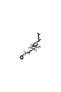 CCCN1C(=O)[C@H](CCCCNC(=O)OCc2ccccc2)NC(=O)C12CCN(CC=C(C)CCC=C(C)C)CC2